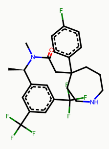 C[C@H](c1cc(C(F)(F)F)cc(C(F)(F)F)c1)N(C)C(=O)CC1(c2ccc(F)cc2)CCCNCC1